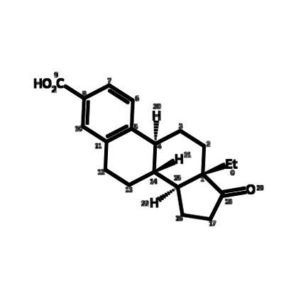 CC[C@]12CC[C@@H]3c4ccc(C(=O)O)cc4CC[C@H]3[C@@H]1CCC2=O